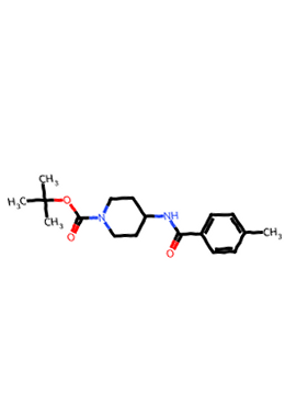 Cc1ccc(C(=O)NC2CCN(C(=O)OC(C)(C)C)CC2)cc1